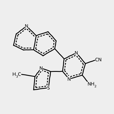 Cc1csc(-c2nc(N)c(C#N)nc2-c2ccc3ncccc3c2)n1